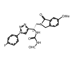 COc1ccc2c(c1)C(=O)N(C[C@H](NC(=O)NC=O)c1cn(-c3ccc(F)cc3)nn1)C2